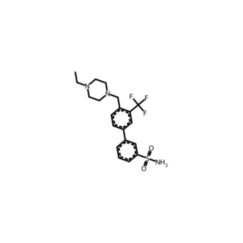 CCN1CCN(Cc2ccc(-c3cccc(S(N)(=O)=O)c3)cc2C(F)(F)F)CC1